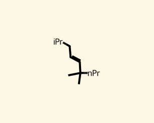 [CH2]C(C)CC=CC(C)(C)CCC